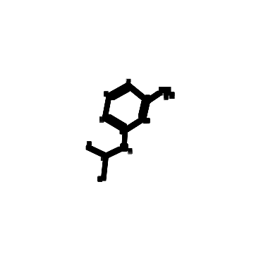 CC(C)Oc1cccc(P)c1